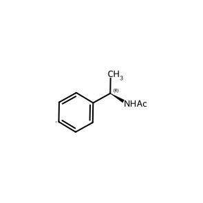 CC(=O)N[C@H](C)c1cc[c]cc1